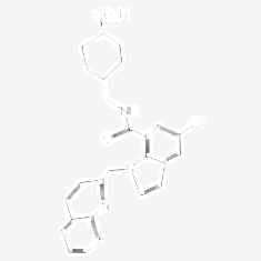 O=C(NC[C@H]1CC[C@H](C(=O)O)CC1)c1cc(Cl)cc2ccn(Cc3ccc4ccccc4n3)c12